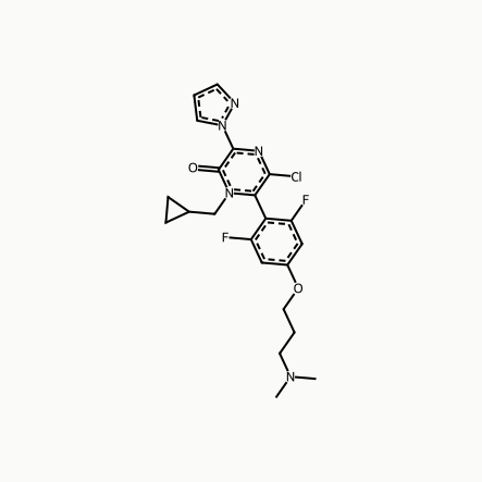 CN(C)CCCOc1cc(F)c(-c2c(Cl)nc(-n3cccn3)c(=O)n2CC2CC2)c(F)c1